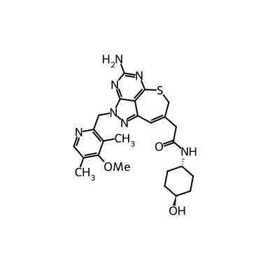 COc1c(C)cnc(Cn2nc3c4c(nc(N)nc42)SCC(CC(=O)N[C@H]2CC[C@H](O)CC2)=C3)c1C